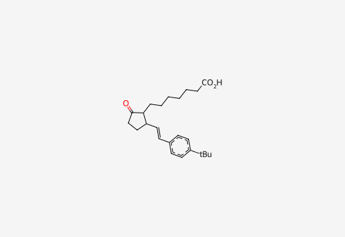 CC(C)(C)c1ccc(/C=C/C2CCC(=O)C2CCCCCCC(=O)O)cc1